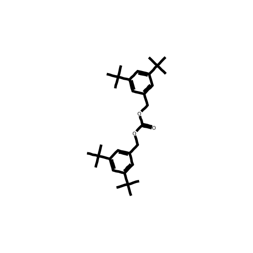 CC(C)(C)c1cc(COC(=O)OCc2cc(C(C)(C)C)cc(C(C)(C)C)c2)cc(C(C)(C)C)c1